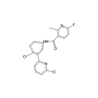 Cc1nc(F)ccc1C(=O)Nc1ccc(Cl)c(-c2cccc(Cl)n2)c1